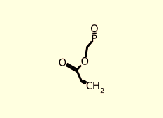 C=CC(=O)OCP=O